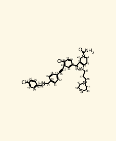 NC(=O)N1CCc2c(c(-c3ccc(Cl)c(C#Cc4ccc(CNCc5ccc(Cl)cc5)cc4)c3)nn2CCCN2CCSCC2)C1